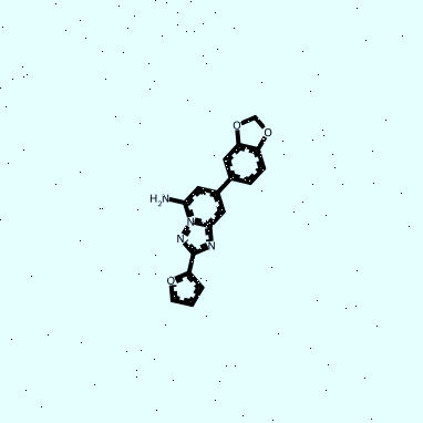 Nc1cc(-c2ccc3c(c2)OCO3)cc2nc(-c3ccco3)nn12